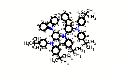 CC(C)(C)c1ccc(N2c3ccc(C(C)(C)C)cc3B3c4cc(C(C)(C)C)ccc4N(c4cc(N(c5ccc(C(C)(C)C)cc5)c5ccc(C(C)(C)C)cc5)c5sc6ccccc6c5c4)c4cc(-n5c6ccccc6c6ccccc65)cc2c43)cc1